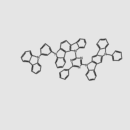 c1ccc(-c2nc(-n3c4ccccc4c4cc5c(cc43)c3ccccc3n5-c3ccccc3)nc(-n3c4ccccc4c4ccc5c(c6ccccc6n5-c5cccc(-n6c7ccccc7c7ccccc76)c5)c43)n2)cc1